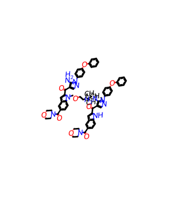 C[Si](C)(C)CCOCn1c(C(=O)c2cnn(-c3ccc(Oc4ccccc4)cc3)c2N)cc2cc(C(=O)N3CCOCC3)ccc21.Nc1c(C(=O)c2cc3cc(C(=O)N4CCOCC4)ccc3[nH]2)cnn1-c1ccc(Oc2ccccc2)cc1